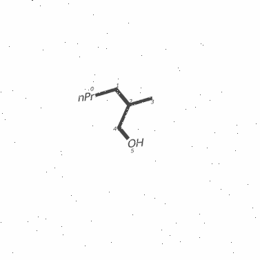 CCCCC(C)[CH]O